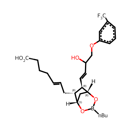 CCCCB1O[C@H]2C[C@@H](O1)[C@H](C=CC(O)COc1cccc(C(F)(F)F)c1)[C@H]2CC=CCCCC(=O)O